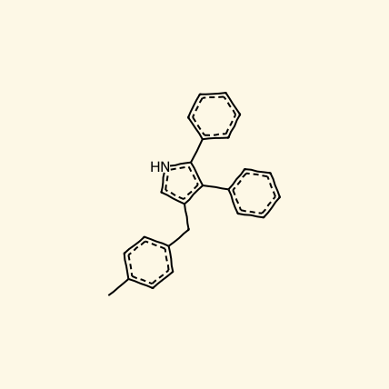 Cc1ccc(Cc2c[nH]c(-c3ccccc3)c2-c2ccccc2)cc1